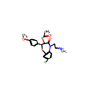 CNCCN1C(=O)C(OC(C)=O)C(c2ccc(OC)cc2)Sc2cc(Cl)ccc21